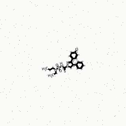 CCCN(CC)S(=O)(=O)NC(=S)N1CC(c2ccccc2)C(c2ccc(Cl)cc2)=N1